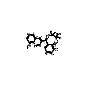 CC1(C)N=C(c2cnc3c(F)cccc3c2)c2ccccc2OC1(C)C